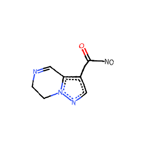 O=NC(=O)c1cnn2c1C=NCC2